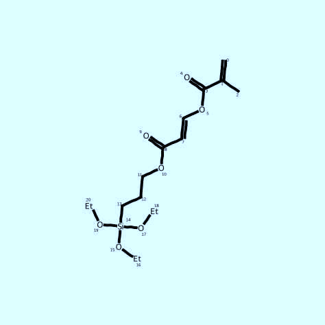 C=C(C)C(=O)OC=CC(=O)OCCC[Si](OCC)(OCC)OCC